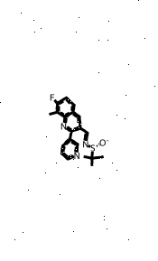 Cc1c(F)ccc2cc(/C=N/[S+]([O-])C(C)(C)C)c(-c3cccnc3)nc12